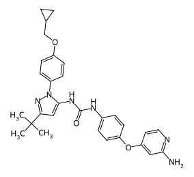 CC(C)(C)c1cc(NC(=O)Nc2ccc(Oc3ccnc(N)c3)cc2)n(-c2ccc(OCC3CC3)cc2)n1